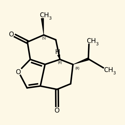 CC(C)[C@H]1CC(=O)c2coc3c2[C@@H]1C[C@H](C)C3=O